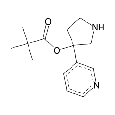 CC(C)(C)C(=O)OC1(c2cccnc2)CCNC1